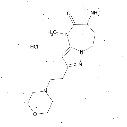 CN1C(=O)C(N)CCn2nc(CCN3CCOCC3)cc21.Cl